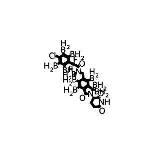 Bc1c(B)c(C(F)(F)C(=O)N(B)Cc2c(B)c(B)c3c(c2B)C(B)(B)N(C2CCC(=O)NC2=O)C3=O)c(B)c(B)c1Cl